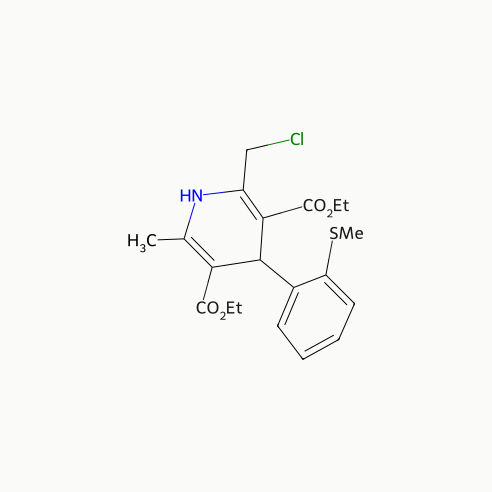 CCOC(=O)C1=C(C)NC(CCl)=C(C(=O)OCC)C1c1ccccc1SC